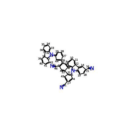 N#Cc1ccc(-n2c3ccccc3c3cc(C#N)ccc32)c(-c2ccc(-c3cccc(N4c5ccccc5C5C=CC=CC54)c3)c(C#N)c2)c1